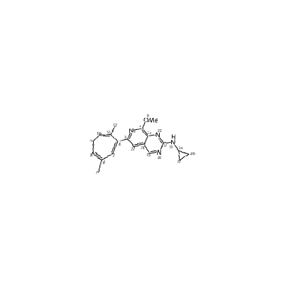 COc1nc(C2=CC(C)=CCC=C2C)cc2cnc(NC3CC3)nc12